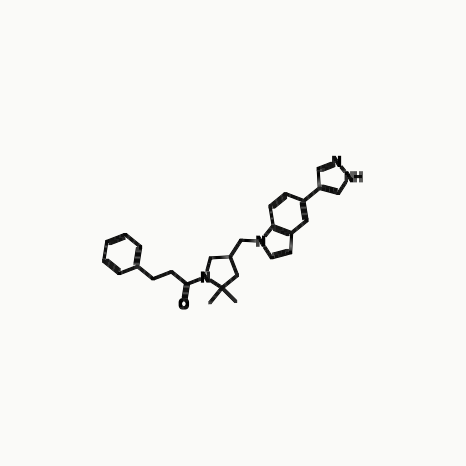 CC1(C)CC(Cn2ccc3cc(-c4cn[nH]c4)ccc32)CN1C(=O)CCc1ccccc1